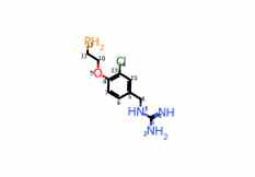 N=C(N)NCc1ccc(OCCP)c(Cl)c1